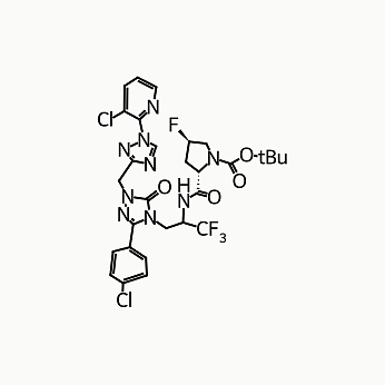 CC(C)(C)OC(=O)N1C[C@H](F)C[C@H]1C(=O)NC(Cn1c(-c2ccc(Cl)cc2)nn(Cc2ncn(-c3ncccc3Cl)n2)c1=O)C(F)(F)F